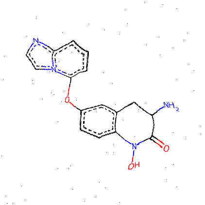 NC1Cc2cc(Oc3cccc4nccn34)ccc2N(O)C1=O